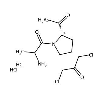 CC(N)C(=O)N1CCC[C@H]1C(=O)[AsH2].Cl.Cl.O=C(CCl)CCl